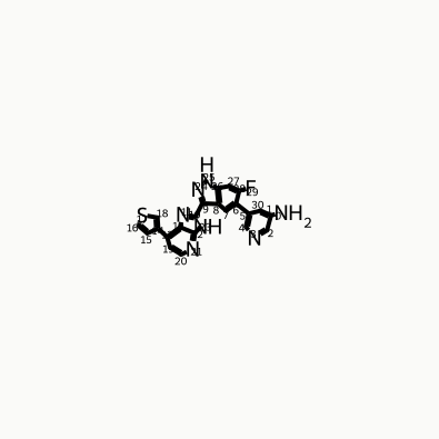 Nc1cncc(-c2cc3c(-c4nc5c(-c6ccsc6)ccnc5[nH]4)n[nH]c3cc2F)c1